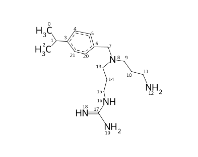 CC(C)c1ccc(CN(CCCN)CCCNC(=N)N)cc1